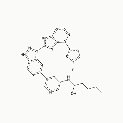 CCCCC(O)Nc1cncc(-c2cc3c(-c4nc5c(-c6ccc(F)s6)nccc5[nH]4)n[nH]c3cn2)c1